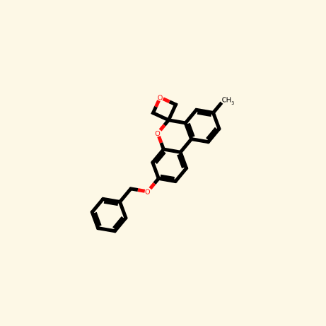 Cc1ccc2c(c1)C1(COC1)Oc1cc(OCc3ccccc3)ccc1-2